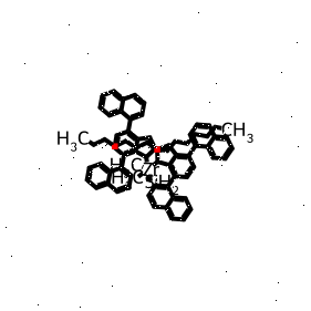 CCCCCCCC1=Cc2c(-c3cccc4ccccc34)ccc(-c3cccc4ccccc34)c2[CH]1[Zr]([CH3])([CH3])(=[SiH2])[CH]1C(CCCCCCC)=Cc2c(-c3cccc4ccccc34)ccc(-c3cccc4ccccc34)c21